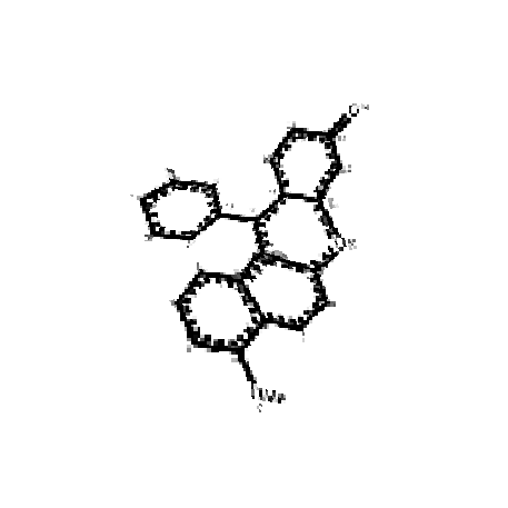 COc1cccc2c1ccc1oc3cc(=O)ccc-3c(-c3ccccc3)c12